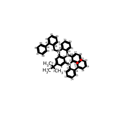 CC(C)(C)c1cc2c3c(c1)N(c1ccccc1-c1ccccc1)c1ccccc1B3c1ccccc1N2Cc1ccccc1-c1ccccc1